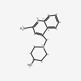 Nc1cc(CN2CCC(O)CC2)c2ccccc2n1